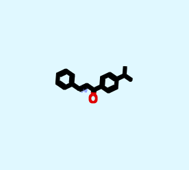 CC(C)c1ccc(C(=O)/C=C/c2ccccc2)cc1